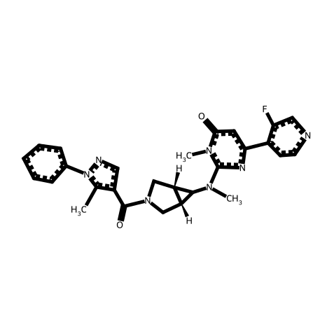 Cc1c(C(=O)N2C[C@@H]3C(N(C)c4nc(-c5ccncc5F)cc(=O)n4C)[C@@H]3C2)cnn1-c1ccccc1